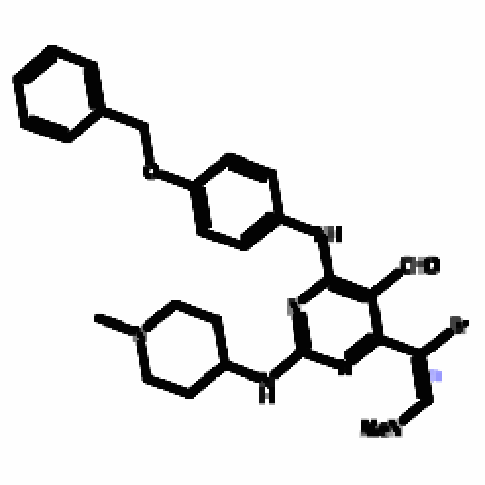 CN/C=C(/Br)c1nc(NC2CCN(C)CC2)nc(Nc2ccc(OCc3ccccc3)cc2)c1C=O